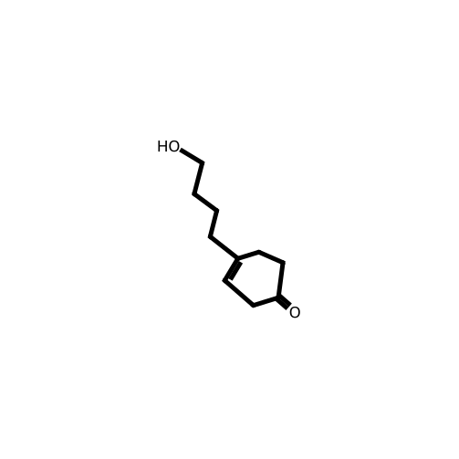 O=C1CC=C(CCCCO)CC1